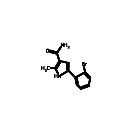 Cc1[nH]c(-c2ccccc2Br)cc1C(N)=O